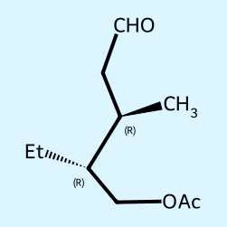 CC[C@@H](COC(C)=O)[C@H](C)CC=O